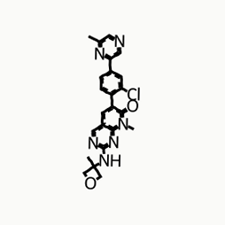 Cc1cncc(-c2ccc(-c3cc4cnc(NC5(C)COC5)nc4n(C)c3=O)c(Cl)c2)n1